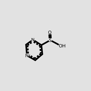 O=S(O)c1ccncn1